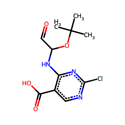 CC(C)(C)OC(C=O)Nc1nc(Cl)ncc1C(=O)O